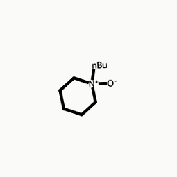 CCCC[N+]1([O-])CCCCC1